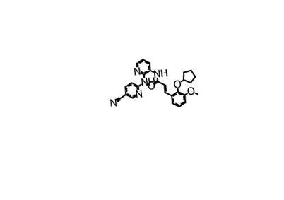 COc1cccc(/C=C/C(=O)Nc2cccnc2Nc2ccc(C#N)cn2)c1OC1CCCC1